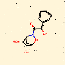 O=C([C@H](O)c1ccccc1)N1OC2CC1[C@@H](O)[C@H]2O